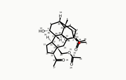 CO[C@@]12CC[C@@]3(C)[C@H](C[C@@H](O)[C@H]4[C@@H]5CC[C@H](C(C)=O)[C@@]5(COC(C)=O)C[C@@H](OC(C)=O)[C@@]43O1)C2